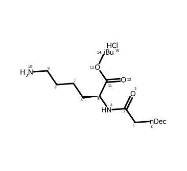 CCCCCCCCCCCC(=O)N[C@@H](CCCCN)C(=O)OC(C)CC.Cl